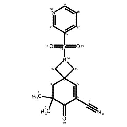 CC1(C)CC2(C=C(C#N)C1=O)CN(S(=O)(=O)c1cccnc1)C2